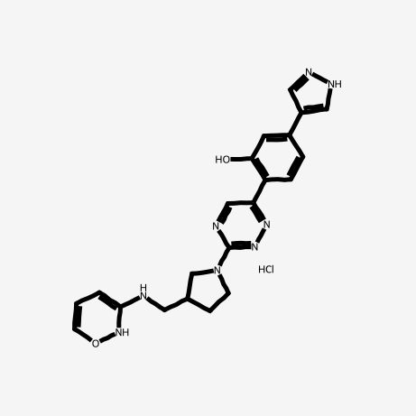 Cl.Oc1cc(-c2cn[nH]c2)ccc1-c1cnc(N2CCC(CNC3=CC=CON3)C2)nn1